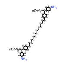 CCCCCCCCCCCCC(c1ccc(N)cc1)c1ccc(CCCCCCCCCCCCCCCCCc2ccc(C(CCCCCCCCCCCC)c3ccc(N)cc3)cc2)cc1